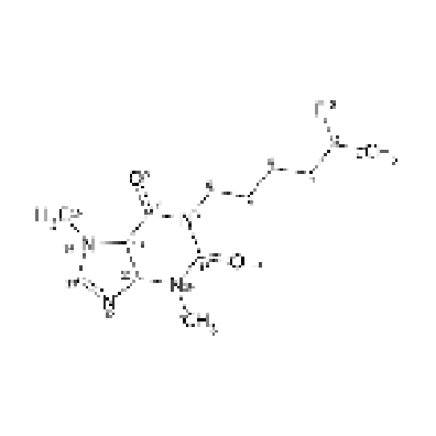 CC(F)CCCCN1C(=O)C2C(N=CN2C)N(C)C1=O